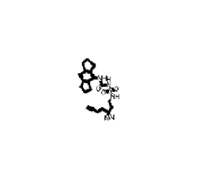 C#CCCC1(CCNS(=O)(=O)NC(=O)Nc2c3c(cc4c2CCC4)CCC3)N=N1